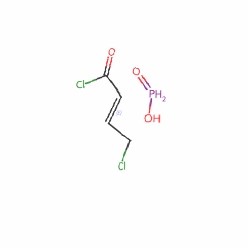 O=C(Cl)/C=C/CCl.O=[PH2]O